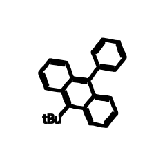 CC(C)(C)c1c2ccccc2c(-c2ccccc2)c2ccccc12